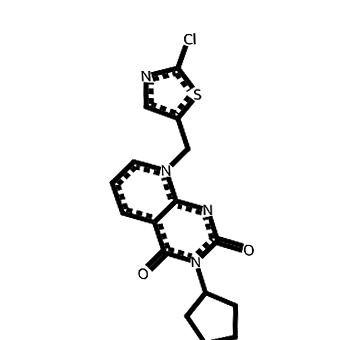 O=c1nc2n(Cc3cnc(Cl)s3)cccc-2c(=O)n1C1CCCC1